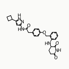 O=C1CCC(Nc2ccccc2COc2ccc(CC(=O)Nc3cc(C4CCC4)[nH]n3)cc2)C(=O)N1